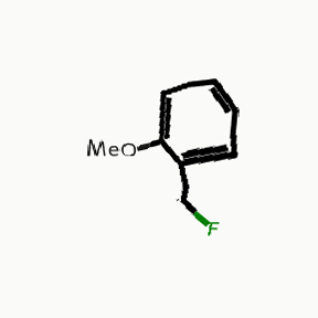 COc1ccccc1[CH]F